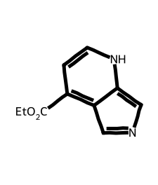 CCOC(=O)c1cc[nH]c2cncc1-2